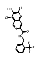 O=C(NCc1ccccc1C(F)(F)F)c1cc2nc(Cl)c(O)c(Cl)c2cn1